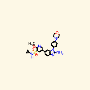 COc1ncc(-c2ccc3nc(N)n(-c4ccc(N5CCOCC5)cc4)c3c2)cc1S(=O)(=O)NC1CC1